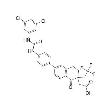 O=C(O)CC1(CC(F)(F)F)CCc2cc(-c3ccc(NC(=O)Nc4cc(Cl)cc(Cl)c4)cc3)ccc2C1=O